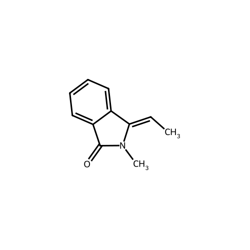 CC=C1c2ccccc2C(=O)N1C